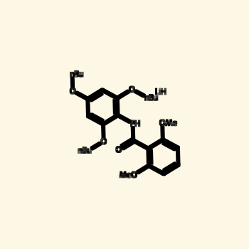 CCCCOc1cc(OCCCC)c(PC(=O)c2c(OC)cccc2OC)c(OCCCC)c1.[LiH]